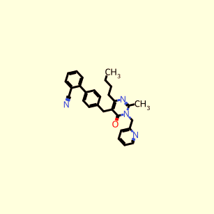 CCCCc1nc(C)n(Cc2ccccn2)c(=O)c1Cc1ccc(-c2ccccc2C#N)cc1